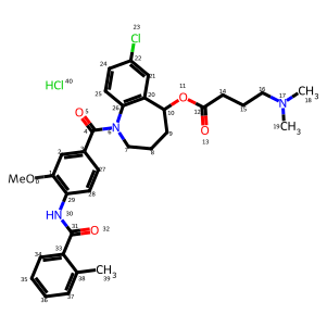 COc1cc(C(=O)N2CCCC(OC(=O)CCCN(C)C)c3cc(Cl)ccc32)ccc1NC(=O)c1ccccc1C.Cl